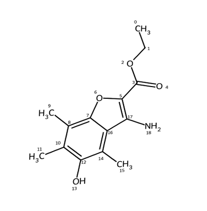 CCOC(=O)c1oc2c(C)c(C)c(O)c(C)c2c1N